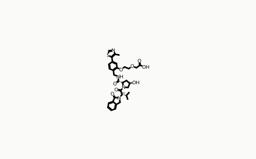 Cc1ncsc1-c1ccc(CNC(=O)[C@@H]2C[C@@H](O)CN2C(=O)[C@H](C(C)C)N2Cc3ccccc3C2=O)c(OCCOCC(=O)O)c1